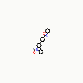 CC(=O)n1c2ccccc2c2cc(-c3ccc(-c4nc5ccccc5o4)cc3)ccc21